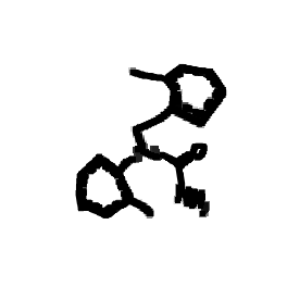 Cc1ccccc1CN(C(N)=O)c1ccccc1C